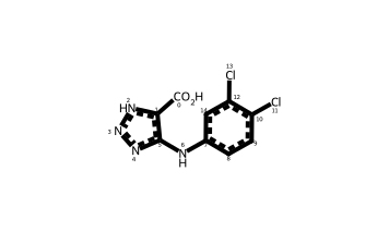 O=C(O)c1[nH]nnc1Nc1ccc(Cl)c(Cl)c1